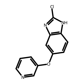 Clc1nc2cc(Oc3cccnc3)ccc2[nH]1